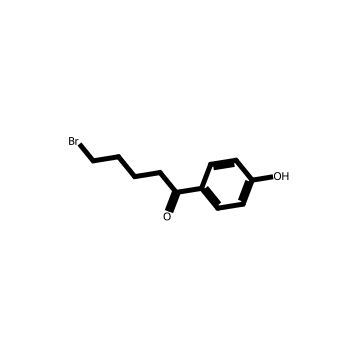 O=C(CCCCBr)c1ccc(O)cc1